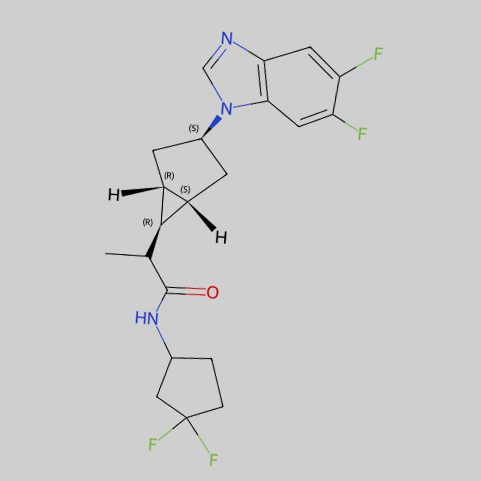 CC(C(=O)NC1CCC(F)(F)C1)[C@H]1[C@@H]2C[C@@H](n3cnc4cc(F)c(F)cc43)C[C@@H]21